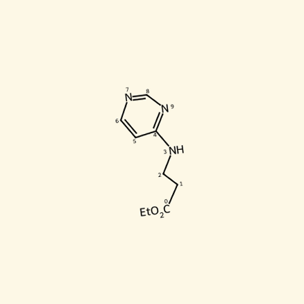 CCOC(=O)CCNc1ccncn1